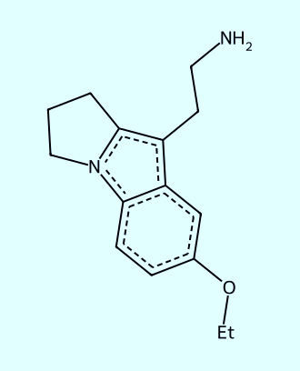 CCOc1ccc2c(c1)c(CCN)c1n2CCC1